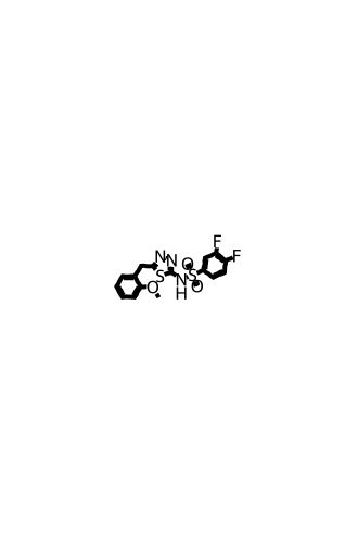 COc1ccccc1Cc1nnc(NS(=O)(=O)c2ccc(F)c(F)c2)s1